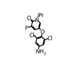 CC(C)n1cc(Oc2c(Cl)cc(N)cc2Cl)cc(F)c1=O